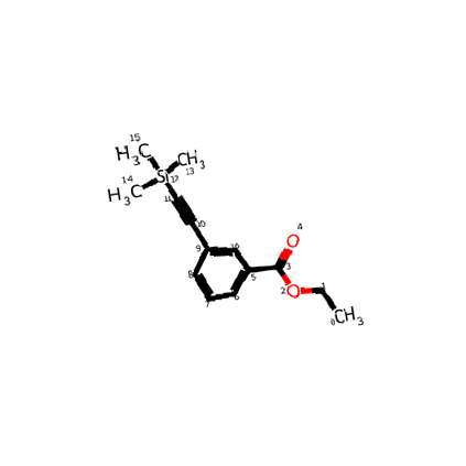 CCOC(=O)c1cccc(C#C[Si](C)(C)C)c1